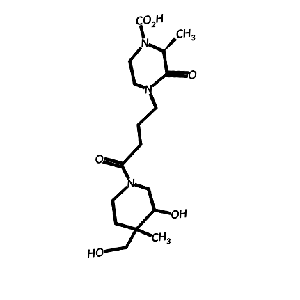 C[C@H]1C(=O)N(CCCC(=O)N2CCC(C)(CO)C(O)C2)CCN1C(=O)O